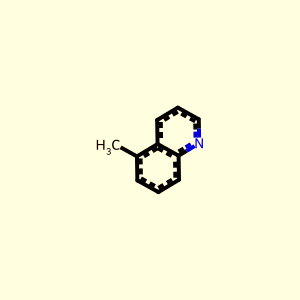 Cc1cccc2ncccc12